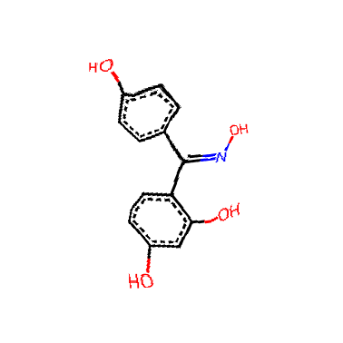 O/N=C(\c1ccc(O)cc1)c1ccc(O)cc1O